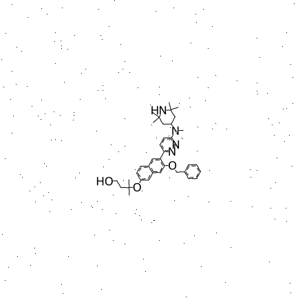 CN(c1ccc(-c2cc3ccc(OC(C)(C)CCO)cc3cc2OCc2ccccc2)nn1)C1CC(C)(C)NC(C)(C)C1